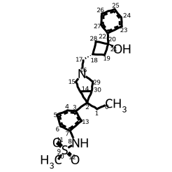 CCC1(c2cccc(NS(C)(=O)=O)c2)C2CN(C[C@H]3C[C@@](O)(c4ccccc4)C3)CC21